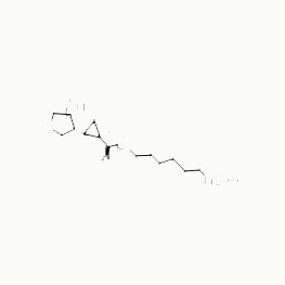 C1CCSC1.CCCCCCCCCCCCCCCCOC(=O)C1CC1.[Au]